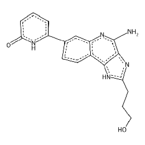 Nc1nc2cc(-c3cccc(=O)[nH]3)ccc2c2[nH]c(CCCO)nc12